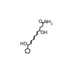 NC(=O)CCC(O)C=CC=C/C=C/C(O)C1CCCC1